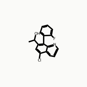 CC(O)c1cc(Cl)c2cccnc2c1-c1ccccc1F